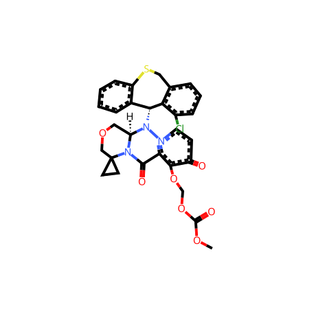 COC(=O)OCOc1c2n(ccc1=O)N([C@@H]1c3ccccc3SCc3cccc(Cl)c31)[C@@H]1COCC3(CC3)N1C2=O